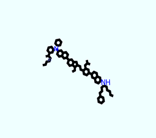 CCC/C=C\C(C)C1CCCC(N(C2CCCCC2)C2CCC3CC(C4CCC5C(C4)CC(CCC4CCC(C6CCC7CC(NC(CCCCC)CCCC8CCCCC8)CCC7C6)CC4CC(C)C)C5CC)CCC3C2)C1